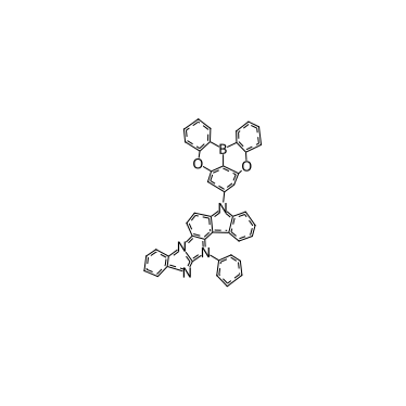 c1ccc(-n2c3c4c5ccccc5n(-c5cc6c7c(c5)Oc5ccccc5B7c5ccccc5O6)c4ccc3n3c4ccccc4nc23)cc1